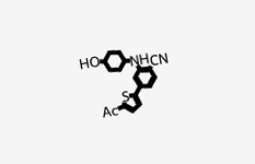 CC(=O)c1ccc(-c2ccc(C#N)c(NC3CCC(O)CC3)c2)s1